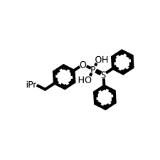 CC(C)Cc1ccc(OP(O)(O)=S(c2ccccc2)c2ccccc2)cc1